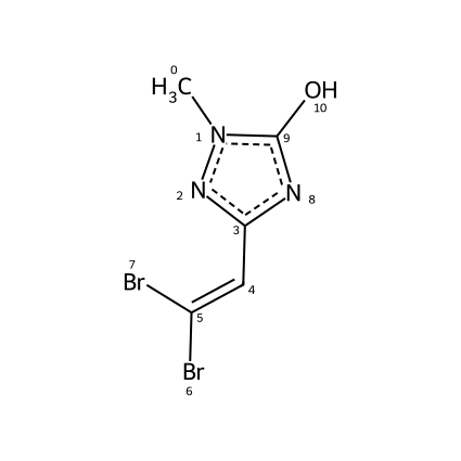 Cn1nc(C=C(Br)Br)nc1O